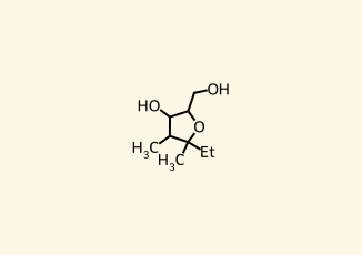 CCC1(C)OC(CO)C(O)C1C